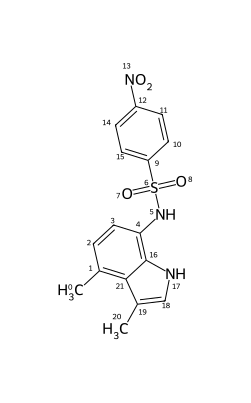 Cc1ccc(NS(=O)(=O)c2ccc([N+](=O)[O-])cc2)c2[nH]cc(C)c12